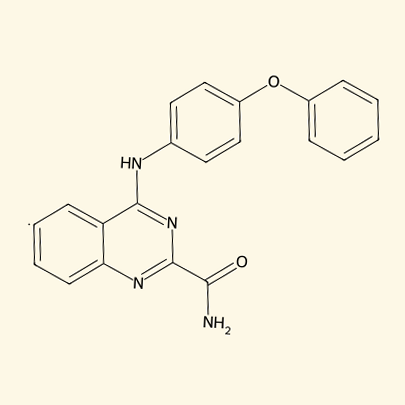 NC(=O)c1nc(Nc2ccc(Oc3ccccc3)cc2)c2c[c]ccc2n1